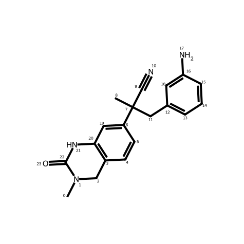 CN1Cc2ccc(C(C)(C#N)Cc3cccc(N)c3)cc2NC1=O